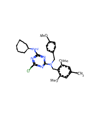 COc1ccc(CN(Cc2c(OC)cc(C)cc2OC)c2nc(Cl)nc(NC3CCCCC3)n2)cc1